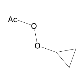 CC(=O)OOC1CC1